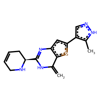 C=C1NC([C@@H]2CC=CCN2)=Nc2cc(-c3cn[nH]c3C)sc21